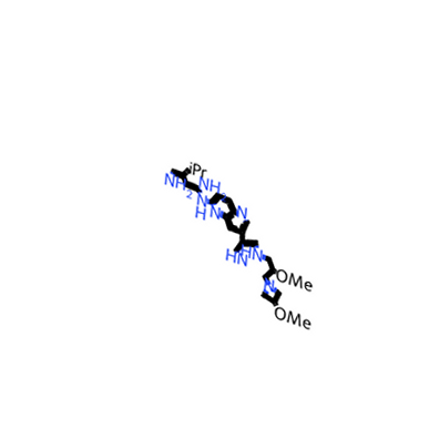 COC(CN/C=C(\C=N)c1cnc2ccc(N/C(N)=C/C(=C\N)C(C)C)nc2c1)CN1CC(OC)C1